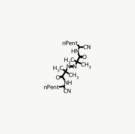 CCCCCC(C#N)NC(=O)C(C)(C)/N=N/C(C)(C)C(=O)NC(C#N)CCCCC